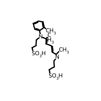 CC(/C=C/C=C(\C)N(CCCS(=O)(=O)O)c1ccccc1C)=N/CCCS(=O)(=O)O